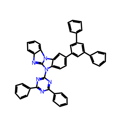 c1ccc(-c2cc(-c3ccccc3)cc(-c3ccc4c(c3)n3c5ccccc5nc3n4-c3nc(-c4ccccc4)nc(-c4ccccc4)n3)c2)cc1